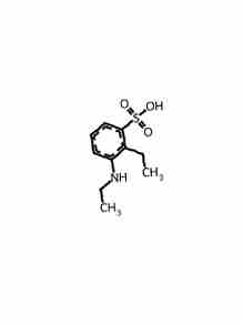 CCNc1cccc(S(=O)(=O)O)c1CC